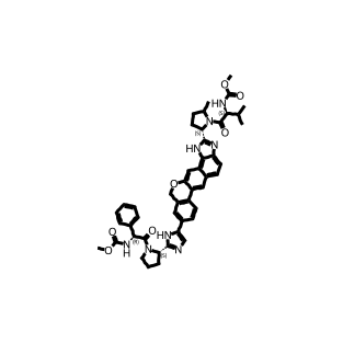 COC(=O)N[C@H](C(=O)N1C(C)CC[C@H]1c1nc2ccc3cc4c(cc3c2[nH]1)OCc1cc(-c2cnc([C@@H]3CCCN3C(=O)[C@H](NC(=O)OC)c3ccccc3)[nH]2)ccc1-4)C(C)C